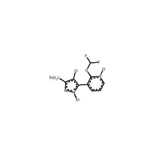 CCOC(=O)c1nn(CC)c(-c2ccc[n+]([O-])c2OC(F)F)c1Cl